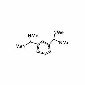 CNC(NC)c1cccc(C(NC)NC)c1